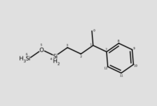 CC(CC[SiH2]O[SiH3])c1ccccc1